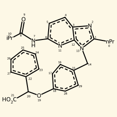 CCCc1nc2ccc(NC(=O)C(C)C)nc2n1Cc1ccc(OC(C(=O)O)c2ccccc2)cc1